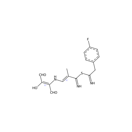 C/C(=C\N/C(C=O)=C(/O)C=O)C(=N)SC(=N)Cc1ccc(F)cc1